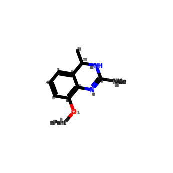 CCCCCOc1cccc2c1N=C(NC)NC2C